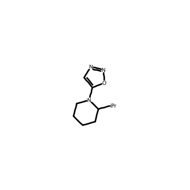 CC(C)C1CCCCN1c1cnno1